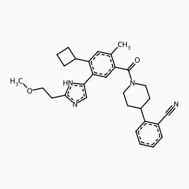 COCCc1ncc(-c2cc(C(=O)N3CCC(c4ccccc4C#N)CC3)c(C)cc2C2CCC2)[nH]1